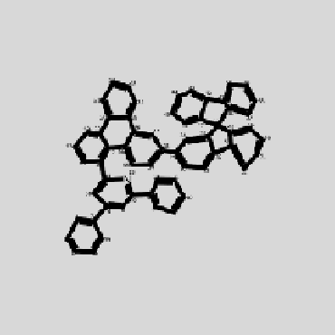 c1ccc(-c2cc(-c3ccccc3)nc(-c3cccc4c5ccccc5c5cc(-c6ccc7c(c6)C6(c8ccccc8-c8ccccc86)c6ccccc6-7)ccc5c34)c2)cc1